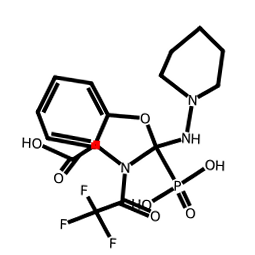 O=C(O)CN(C(=O)C(F)(F)F)C(NN1CCCCC1)(Oc1ccccc1)P(=O)(O)O